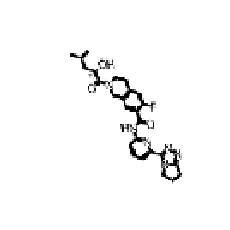 CC(C)C[C@H](O)C(=O)N1CCc2cc(F)c(C(=O)Nc3cccc(-c4nnc5n4CCC5)n3)cc2C1